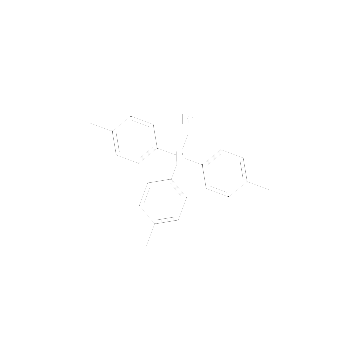 Cc1ccc([P+](C)(c2ccc(C)cc2)c2ccc(C)cc2)cc1.[Br-]